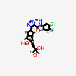 Cn1cnc(C2CC3CC(O)(C#CC4(O)COC4)CC3C2)c1C(=O)Nc1ccc(F)c(Cl)c1